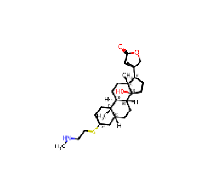 CNCCS[C@H]1CC[C@@]2(C)[C@H](CC[C@@H]3[C@@H]2CC[C@]2(C)[C@@H](C4=CC(=O)OC4)CC[C@]32O)C1